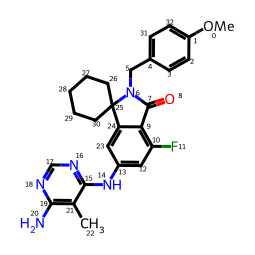 COc1ccc(CN2C(=O)c3c(F)cc(Nc4ncnc(N)c4C)cc3C23CCCCC3)cc1